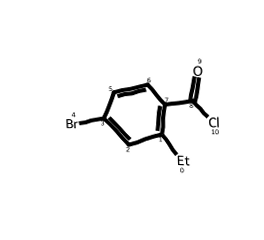 CCc1cc(Br)ccc1C(=O)Cl